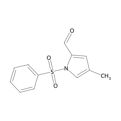 Cc1cc(C=O)n(S(=O)(=O)c2ccccc2)c1